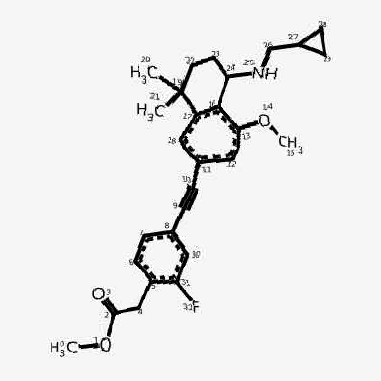 COC(=O)Cc1ccc(C#Cc2cc(OC)c3c(c2)C(C)(C)CCC3NCC2CC2)cc1F